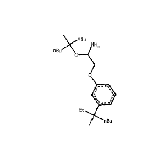 CCCCC(C)(CCCC)OC(N)COc1cccc(C(C)(CC)CCCC)c1